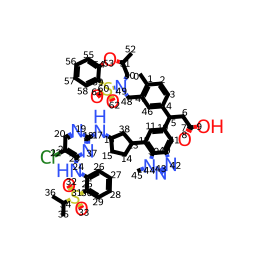 Cc1ccc(C(CC(=O)O)c2cc(C3CCC(Nc4ncc(Cl)c(Nc5ccccc5S(=O)(=O)C(C)C)n4)C3)c3c(c2)nnn3C)cc1CN1CC(C)Oc2ccccc2S1(=O)=O